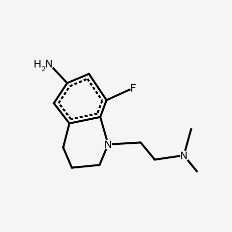 CN(C)CCN1CCCc2cc(N)cc(F)c21